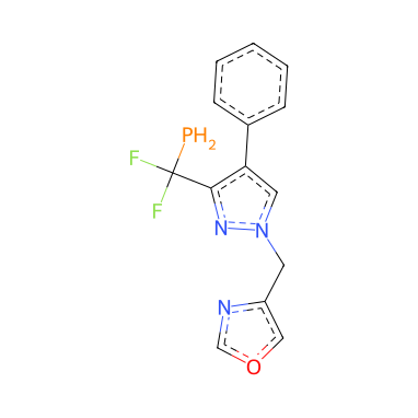 FC(F)(P)c1nn(Cc2cocn2)cc1-c1ccccc1